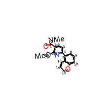 CNC(=O)c1ccc(-c2cccc3c2C=CCO3)nc1OC